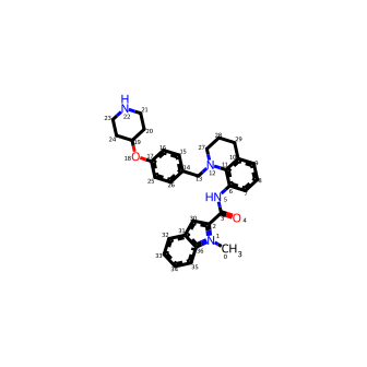 Cn1c(C(=O)Nc2cccc3c2N(Cc2ccc(OC4CCNCC4)cc2)CCC3)cc2ccccc21